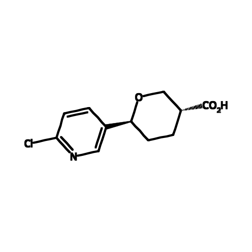 O=C(O)[C@@H]1CC[C@@H](c2ccc(Cl)nc2)OC1